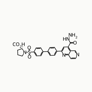 NNC(=O)c1cc(-c2ccc(-c3ccc(S(=O)(=O)N4CCC[C@@H]4C(=O)O)cc3)cc2)nc2ccncc12